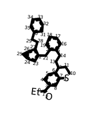 CCC(=O)c1ccc2c(c1)SCCC2CCc1ccccc1Cc1cc2cc-2c1CCc1ccccc1